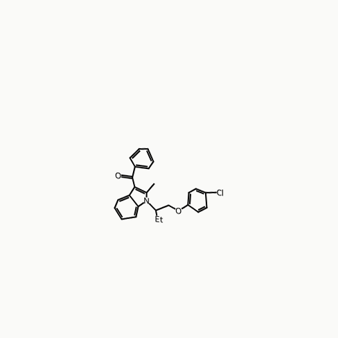 CCC(COc1ccc(Cl)cc1)n1c(C)c(C(=O)c2ccccc2)c2ccccc21